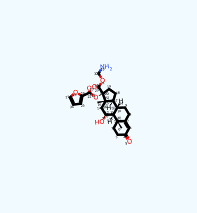 C[C@]12CCC(=O)C=C1CC[C@@H]1[C@@H]2[C@@H](O)C[C@@]2(C)[C@H]1CC[C@]2(OC(=O)c1ccco1)C(=O)OCN